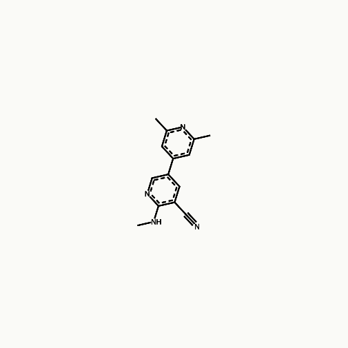 CNc1ncc(-c2cc(C)nc(C)c2)cc1C#N